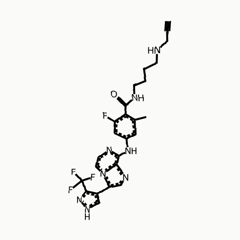 C#CCNCCCCNC(=O)c1c(C)cc(Nc2nccn3c(-c4c[nH]nc4C(F)(F)F)cnc23)cc1F